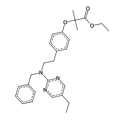 CCOC(=O)C(C)(C)Oc1ccc(CCN(Cc2ccccc2)c2ncc(CC)cn2)cc1